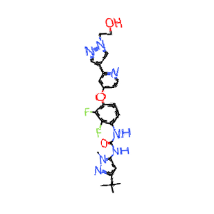 Cn1nc(C(C)(C)C)cc1NC(=O)Nc1ccc(Oc2ccnc(-c3cnn(CCO)c3)c2)c(F)c1F